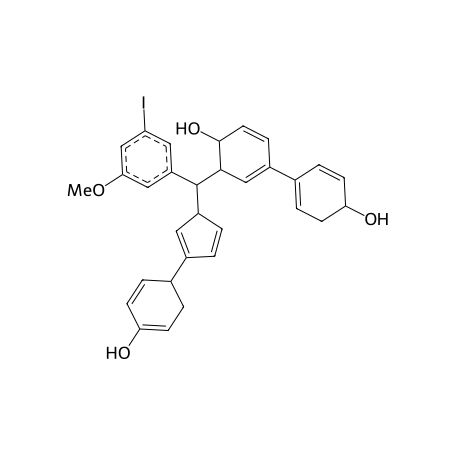 COc1cc(I)cc(C(C2C=CC(C3C=CC(O)=CC3)=C2)C2C=C(C3=CCC(O)C=C3)C=CC2O)c1